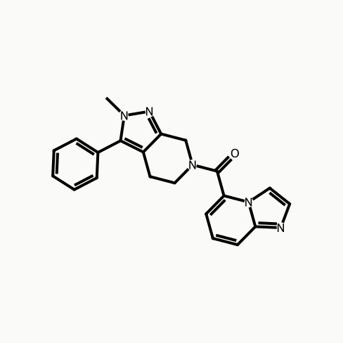 Cn1nc2c(c1-c1ccccc1)CCN(C(=O)c1cccc3nccn13)C2